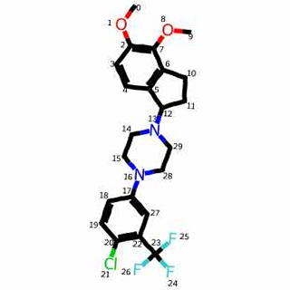 COc1ccc2c(c1OC)CCC2N1CCN(c2ccc(Cl)c(C(F)(F)F)c2)CC1